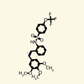 COc1cc(/C=C\c2ccccc2NS(=O)(=O)c2ccc(OC(F)(F)F)cc2)cc(OC)c1OC